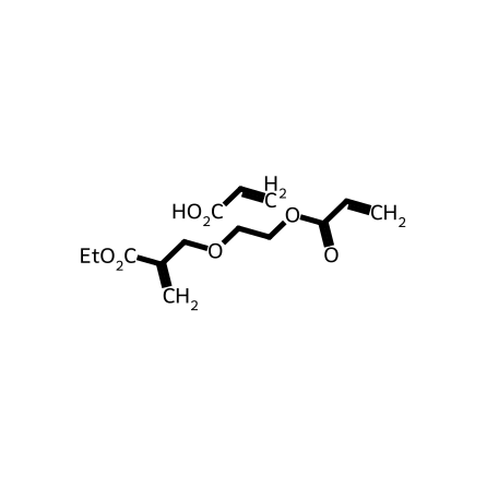 C=CC(=O)O.C=CC(=O)OCCOCC(=C)C(=O)OCC